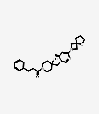 O=C(CCc1ccccc1)N1CCC(O)(Cn2cnc(N3CC4(CCCO4)C3)cc2=O)CC1